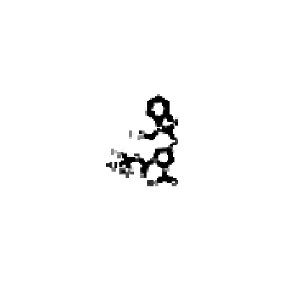 CCn1c(O[C@@H]2C[C@@H](C(=O)O)N(C(=O)OC(C)(C)C)C2)nc2ccccc21